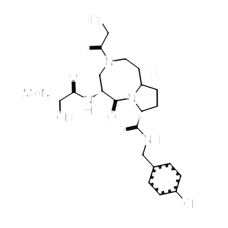 CN[C@@H](C)C(=O)N[C@H]1CN(C(=O)CC(C)C)CC[C@H]2CC[C@@H](C(=O)NCc3ccc(C)cc3)N2C1=O